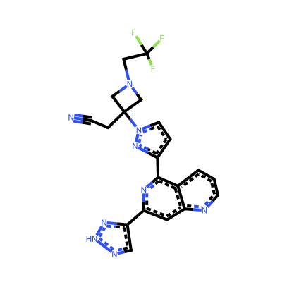 N#CCC1(n2ccc(-c3nc(-c4cn[nH]n4)cc4ncccc34)n2)CN(CC(F)(F)F)C1